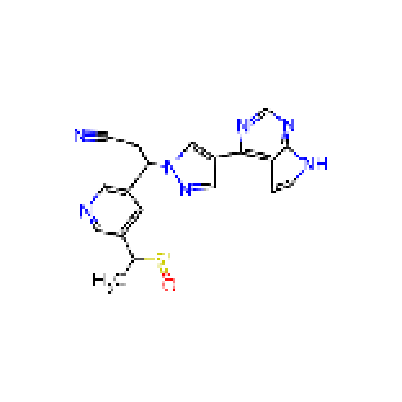 CC([S+]=O)c1cncc(C(CC#N)n2cc(-c3ncnc4[nH]ccc34)cn2)c1